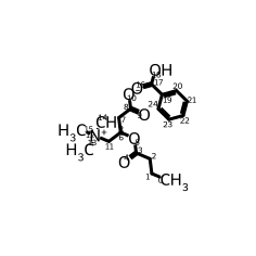 CCCC(=O)OC(CC(=O)[O-])C[N+](C)(C)C.O=C(O)c1ccccc1